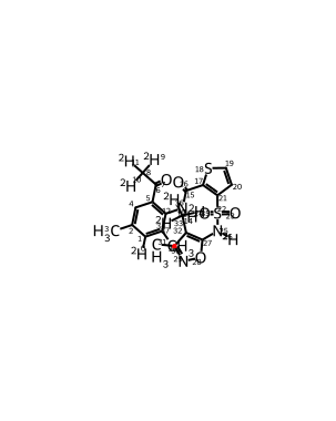 [2H]c1c(C)cc(C(=O)C([2H])([2H])[2H])c(N([2H])C(=O)c2sccc2S(=O)(=O)N([2H])c2onc(C)c2C([2H])([2H])[2H])c1C